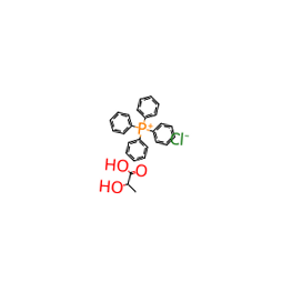 CC(O)C(=O)O.[Cl-].c1ccc([P+](c2ccccc2)(c2ccccc2)c2ccccc2)cc1